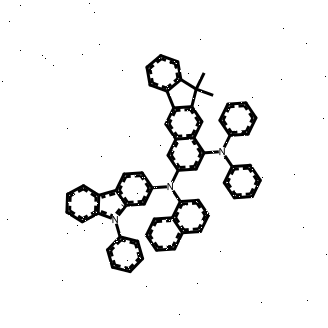 CC1(C)c2ccccc2-c2cc3cc(N(c4ccc5c6ccccc6n(-c6ccccc6)c5c4)c4cccc5ccccc45)cc(N(c4ccccc4)c4ccccc4)c3cc21